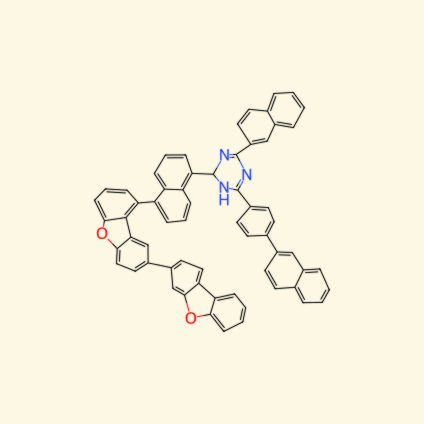 c1ccc2cc(C3=NC(c4cccc5c(-c6cccc7oc8ccc(-c9ccc%10c(c9)oc9ccccc9%10)cc8c67)cccc45)NC(c4ccc(-c5ccc6ccccc6c5)cc4)=N3)ccc2c1